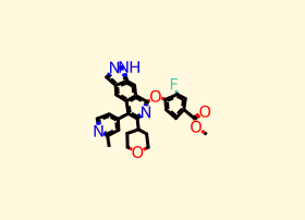 COC(=O)c1ccc(Oc2nc(C3CCOCC3)c(-c3ccnc(C)c3)c3cc4cn[nH]c4cc23)c(F)c1